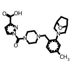 Cc1ccc(CN2CCN(C(=O)n3ccc(C(=O)O)n3)CC2)c(N2CC3CCC(C2)O3)c1